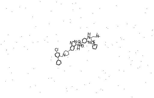 CN(C)CCC(CSc1ccccc1)Nc1ccc(S(=O)(=O)Nc2ncnc3cc(C4CCN(Cc5cc(Cl)ccc5-c5ccccc5)CC4)ccc23)cc1[N+](=O)[O-]